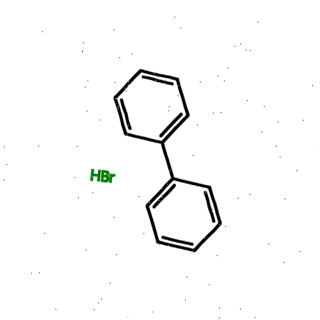 Br.c1ccc(-c2ccccc2)cc1